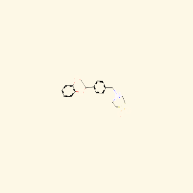 O=S1(=O)CCN(Cc2ccc(C3COc4ccccc4O3)cc2)CC1